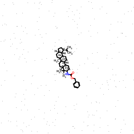 C=C(C)[C@@H]1CC[C@@H]2CC[C@]3(C)[C@H](CC[C@@H]4[C@@]5(C)CCC(NC(=O)OCc6ccccc6)C(C)(C)[C@@H]5CC[C@]43C)[C@H]21